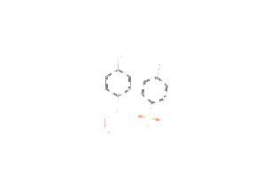 Cc1ccc(S(=O)(=O)O)cc1.OCCc1ccc(Br)cc1